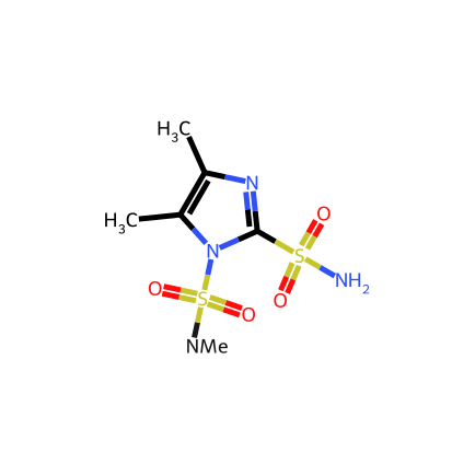 CNS(=O)(=O)n1c(S(N)(=O)=O)nc(C)c1C